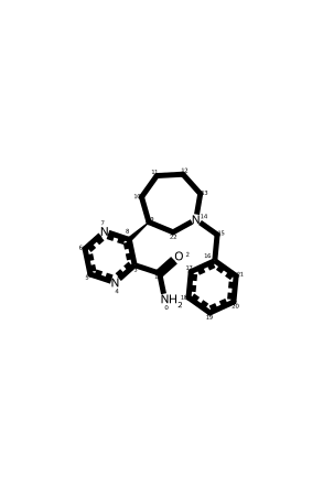 NC(=O)c1nccnc1[C@H]1CCCCN(Cc2ccccc2)C1